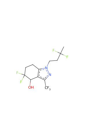 CC(F)(F)CCn1nc(C(F)(F)F)c2c1CCC(F)(F)C2O